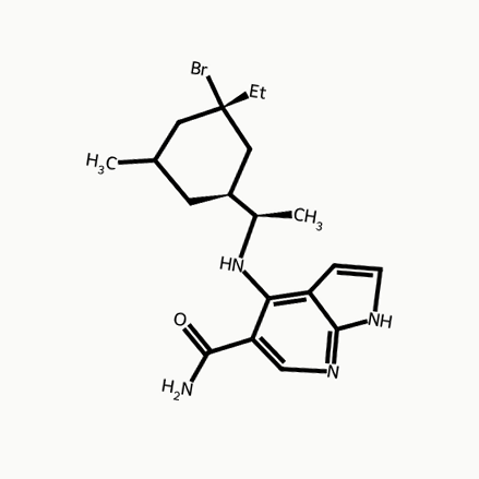 CC[C@]1(Br)CC(C)C[C@H]([C@@H](C)Nc2c(C(N)=O)cnc3[nH]ccc23)C1